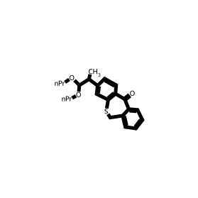 CCCOC(OCCC)C(C)c1ccc2c(c1)SCc1ccccc1C2=O